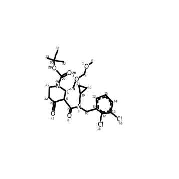 COCOC[C@@H]1C(C(=O)N(Cc2cccc(Cl)c2Cl)C2CC2)C(=O)CCN1C(=O)OC(C)(C)C